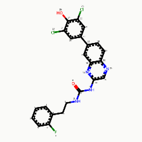 O=C(NCCc1ccccc1F)Nc1cnc2ccc(-c3cc(Cl)c(O)c(Cl)c3)cc2n1